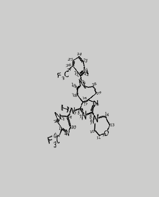 FC(F)(F)c1cnc(Nc2nc(N3CCOCC3)nc3c2CCN(c2ncccc2C(F)(F)F)CC3)cn1